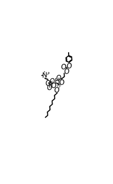 CCCCCCCCCCOC[C@H](COP(=O)(O)OCC[N+](C)(C)C)OC(=O)CCOC(=O)Oc1ccc(C)cc1